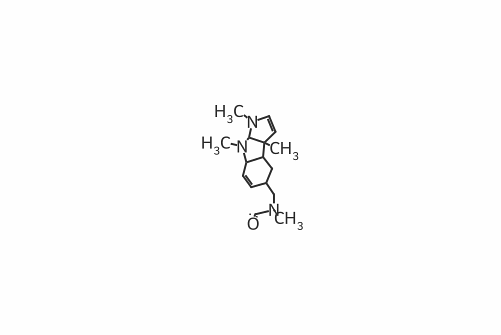 CN([C]=O)CC1C=CC2C(C1)C1(C)C=CN(C)C1N2C